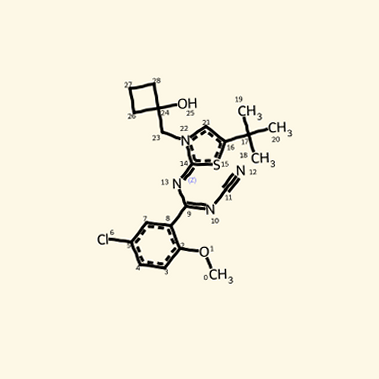 COc1ccc(Cl)cc1C(=NC#N)/N=c1\sc(C(C)(C)C)cn1CC1(O)CCC1